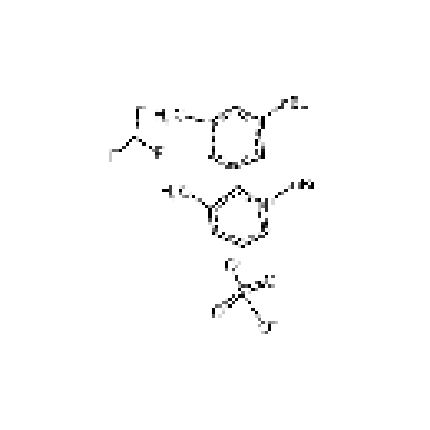 CCCC[n+]1cccc(C)c1.CCCC[n+]1cccc(C)c1.FC(F)F.O=S(=O)([O-])[O-]